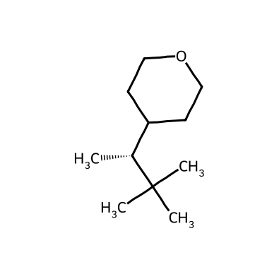 C[C@H](C1CCOCC1)C(C)(C)C